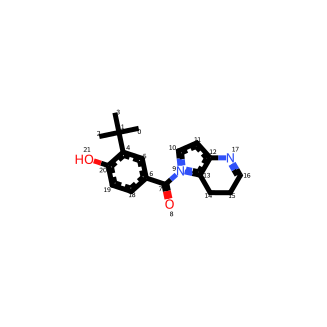 CC(C)(C)c1cc(C(=O)n2ccc3c2CCC=N3)ccc1O